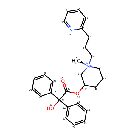 C[N@@+]1(CCCc2ccccn2)CCCC(OC(=O)C(O)(c2ccccc2)c2ccccc2)C1